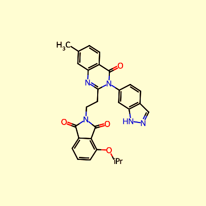 Cc1ccc2c(=O)n(-c3ccc4cn[nH]c4c3)c(CCN3C(=O)c4cccc(OC(C)C)c4C3=O)nc2c1